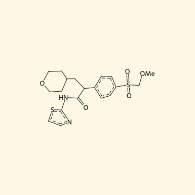 COCS(=O)(=O)c1ccc(C(CC2CCOCC2)C(=O)Nc2nccs2)cc1